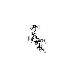 CCCP(=O)(CCOS(C)(=O)=O)N(C)CCCN(C)C(=O)CCCN1C(=O)C=CC1=O